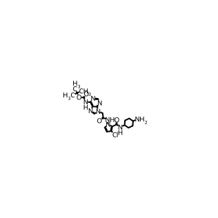 CC(C)(C)OC(=O)Nc1ncnc2c1ncn2CC(=O)Nn1ccc(Cl)c1C(=O)NC1CCC(N)CC1